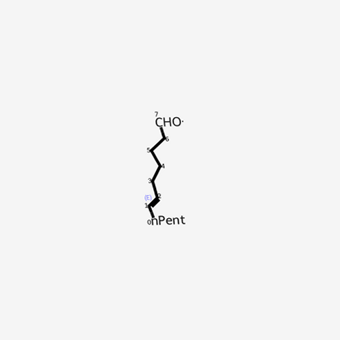 CCCCC/C=C/CCCC[C]=O